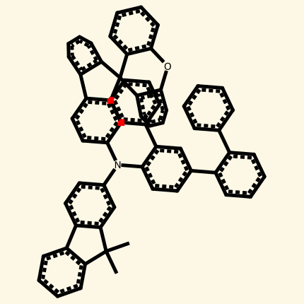 CC1(C)c2ccccc2-c2ccc(N(c3ccc4c(c3)C3(c5ccccc5Oc5ccccc53)c3ccccc3-4)c3ccc(-c4ccccc4-c4ccccc4)cc3-c3ccccc3)cc21